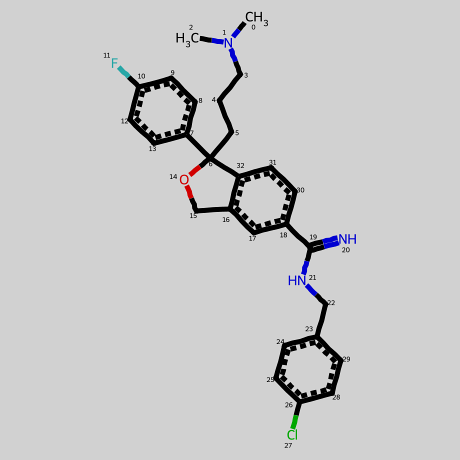 CN(C)CCCC1(c2ccc(F)cc2)OCc2cc(C(=N)NCc3ccc(Cl)cc3)ccc21